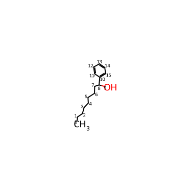 CCCCCCCCC(O)c1[c]cccc1